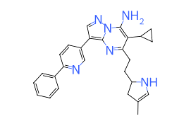 CC1=CNC(CCc2nc3c(-c4ccc(-c5ccccc5)nc4)cnn3c(N)c2C2CC2)C1